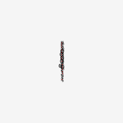 CCCCCCCCCCCCOC(=O)CCCOCCOCCOCCOCCCCCCCC